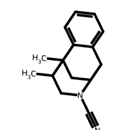 CC1CN(C#N)C2Cc3ccccc3C1(C)C2